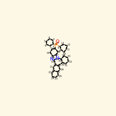 O=P(c1ccccc1)(c1ccccc1)c1ccc2nc3c4cc5ccccc5cc4c4ccccc4n3c2c1